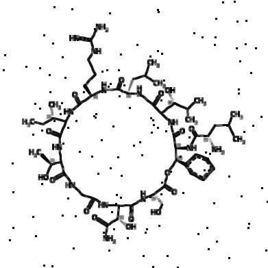 CC[C@H](C)C1NC(=O)[C@@H](CCCNC(=N)N)NC(=O)[C@H](CC(C)C)NC(=O)C([C@H](O)C(C)C)NC(=O)[C@@H](NC(=O)[C@@H](N)CC(C)C)[C@@H](c2ccccc2)OC(=O)[C@H](CO)NC(=O)C([C@H](O)C(N)=O)NC(=O)CNC(=O)C([C@H](C)O)NC1=O